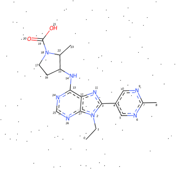 CCn1c(-c2cnc(C)nc2)nc2c(NC3CCN(C(=O)O)C3C)ncnc21